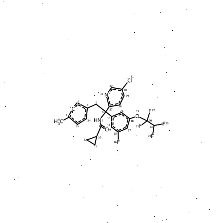 Cc1ccc(CC(NC(=O)C2CC2)(c2cc(F)cc(OC(F)(F)C(F)F)c2)c2ccc(Cl)cn2)cc1